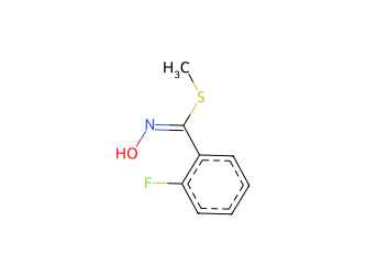 CS/C(=N/O)c1ccccc1F